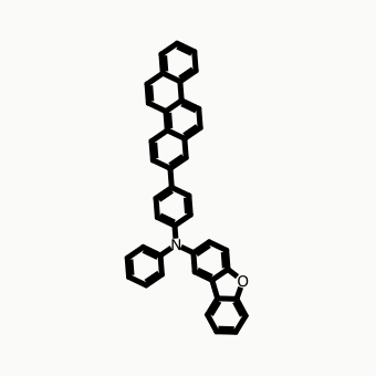 c1ccc(N(c2ccc(-c3ccc4c(ccc5c6ccccc6ccc45)c3)cc2)c2ccc3oc4ccccc4c3c2)cc1